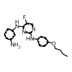 CCCCOc1ccc(Nc2ncc(F)c(Nc3cccc(N)c3)n2)cc1